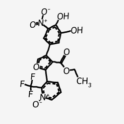 CCOC(=O)c1c(-c2cc(O)c(O)c([N+](=O)[O-])c2)coc1-c1ccc[n+]([O-])c1C(F)(F)F